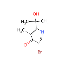 CC1=C(C(C)(C)O)N=CC(Br)C1=O